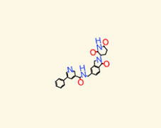 O=C1CCC(N2Cc3cc(CNC(=O)c4cncc(-c5ccccc5)c4)ccc3C2=O)C(=O)N1